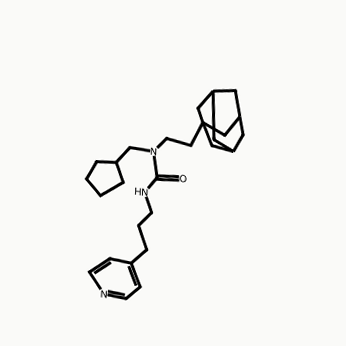 O=C(NCCCc1ccncc1)N(CCC12CC3CC(CC(C3)C1)C2)CC1CCCC1